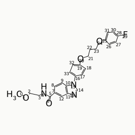 COCCNC(=O)c1ccc2c(c1)ncn2-c1ccc(OCCCOc2ccc(F)cc2)cc1